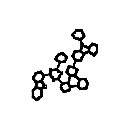 c1ccc(-c2nc(-c3cccc4c3oc3ccccc34)nc(-c3cccc4c5ccccc5c5cc(-c6ccc7c(c6)c6ccccc6n7-c6ccccc6)ccc5c34)n2)cc1